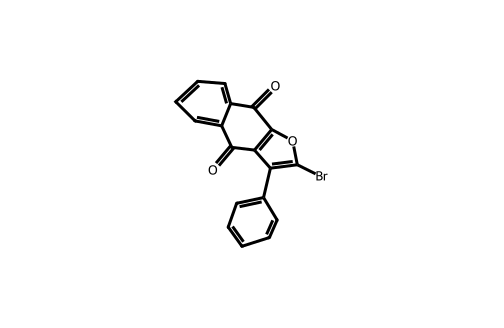 O=C1c2ccccc2C(=O)c2c1oc(Br)c2-c1ccccc1